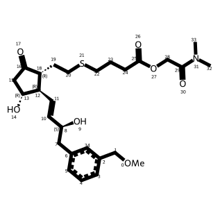 COCc1cccc(C[C@H](O)C=C[C@H]2[C@H](O)CC(=O)[C@@H]2CCSCCCC(=O)OCC(=O)N(C)C)c1